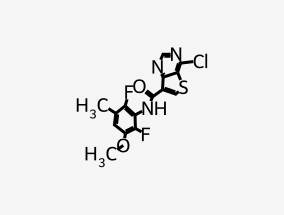 COc1cc(C)c(F)c(NC(=O)c2csc3c(Cl)ncnc23)c1F